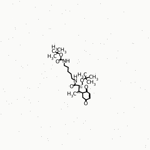 C[C@H](C1CC(=O)C=CC1=O)[C@@H](COC(C)(C)C)C(=O)NCCCCCNC(=O)OC(C)(C)C